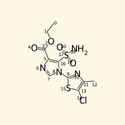 CCOC(=O)c1ncn(-c2nc(C)c(Cl)s2)c1S(N)(=O)=O